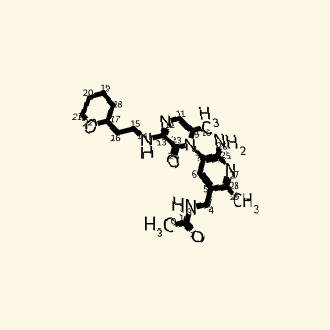 CC(=O)NCc1cc(-n2c(C)cnc(NCCC3CCCCO3)c2=O)c(N)nc1C